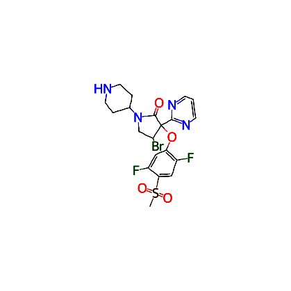 CS(=O)(=O)c1cc(F)c(OC2(c3ncccn3)C(=O)N(C3CCNCC3)CC2Br)cc1F